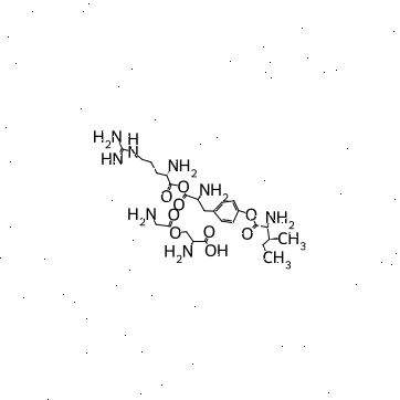 CC[C@H](C)[C@H](N)C(=O)Oc1ccc(C[C@H](N)C(=O)OC(=O)[C@@H](N)CCCNC(=N)N)cc1.NCC(=O)OC[C@H](N)C(=O)O